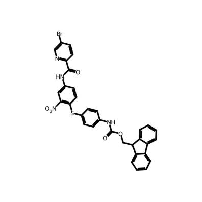 O=C(Nc1ccc(Sc2ccc(NC(=O)c3ccc(Br)cn3)cc2[N+](=O)[O-])cc1)OCC1c2ccccc2-c2ccccc21